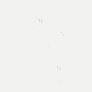 COc1ccc(-c2ccc(OCc3cc(C(=O)[N-]S(=O)(=O)c4ccccc4C)oc3C)cc2)nc1.[Na+]